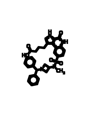 CN(C1CN(C(c2ccccc2)c2ccccc2)C1)S(=O)(=O)c1ccc2[nH]c(=O)c3[nH]cc(CCCC(=O)O)c3c2c1